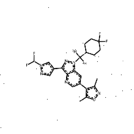 [2H]C([2H])(C1CCC(F)(F)CC1)n1nc(-c2cnn(C(F)F)c2)c2ncc(-c3c(C)noc3C)cc21